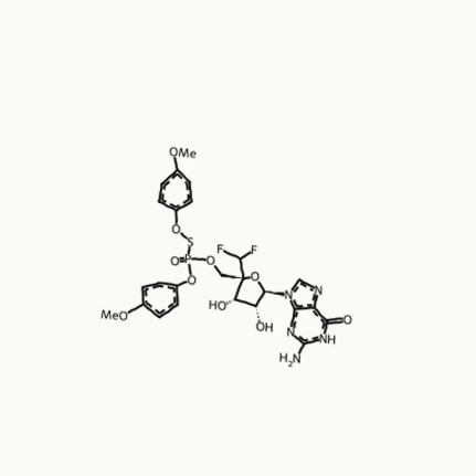 COc1ccc(OSP(=O)(OC[C@@]2(C(F)F)O[C@@H](n3cnc4c(=O)[nH]c(N)nc43)[C@H](O)[C@@H]2O)Oc2ccc(OC)cc2)cc1